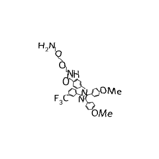 COc1ccc(-c2nc(-c3cccc(C(F)(F)F)c3)n(Cc3ccc(C(=O)NCCOCCOCCN)cc3)c2-c2ccc(OC)cc2)cc1